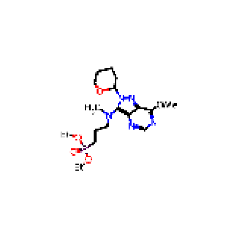 CCOP(=O)(CCCN(C)c1c2ncnc(OC)c2nn1C1CCCCO1)OCC